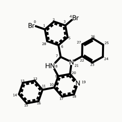 Brc1cc(Br)cc(C2Nc3c(-c4ccccc4)ccnc3N2C2=CCCC=C2)c1